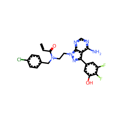 C=CC(=O)N(CCn1nc(-c2cc(O)c(F)c(F)c2)c2c(N)ncnc21)Cc1ccc(Cl)cc1